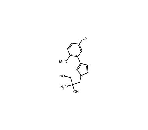 COc1ccc(C#N)cc1-c1[c]cn(C[C@](C)(O)CO)n1